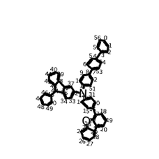 c1ccc(-c2ccc(-c3ccc(N(c4ccc(-c5cccc6c5oc5ccccc56)cc4)c4ccc5c(c4)-c4ccccc4C5c4ccccc4)cc3)cc2)cc1